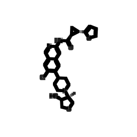 C[C@]1(N2CCC(c3cc4cc(NC(=O)[C@H]5C[C@@H]5c5ccco5)ncc4cc3Cl)CC2)COC[C@H]1O